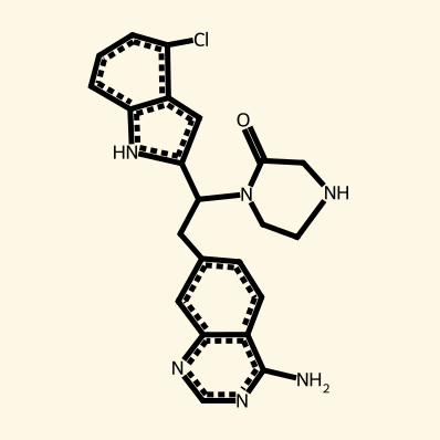 Nc1ncnc2cc(CC(c3cc4c(Cl)cccc4[nH]3)N3CCNCC3=O)ccc12